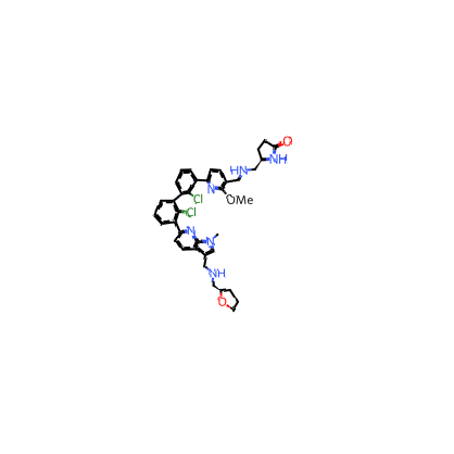 COc1nc(-c2cccc(-c3cccc(-c4ccc5c(CNC[C@H]6CCCO6)cn(C)c5n4)c3Cl)c2Cl)ccc1CNC[C@H]1CCC(=O)N1